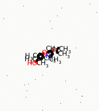 CCC(CC)Oc1cc(C)nc(Oc2cc(C)c(C(C)(C)O)cc2C)c1C